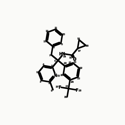 Cc1cccc(C(Cc2ccccc2)(NC(=O)C2CC2)c2cccc(C(C)(F)F)c2)n1